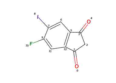 O=C1CC(=O)c2cc(I)c(F)cc21